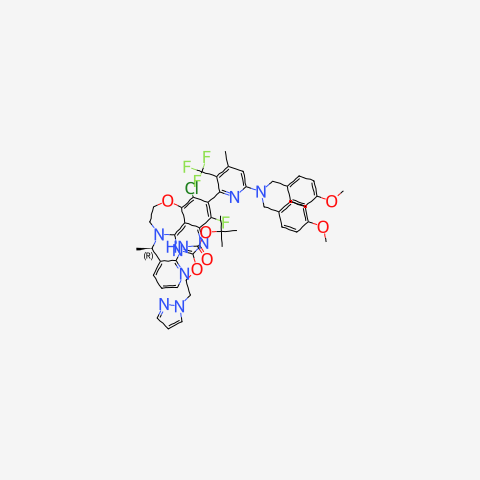 COc1ccc(CN(Cc2ccc(OC)cc2)c2cc(C)c(C(F)(F)F)c(-c3c(Cl)c4c5c(nc(OCCn6cccn6)nc5c3F)N([C@H](C)c3cccnc3NC(=O)OC(C)(C)C)CCO4)n2)cc1